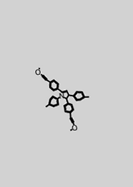 COC#Cc1ccc(C2=CC(c3ccc(C)cc3)C(c3ccc(C#COC)cc3)N2c2ccc(C)cc2)cc1